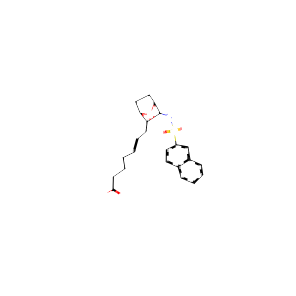 O=C(O)CCCC=CCC1C2CCC(O2)C1NS(=O)(=O)c1ccc2ccccc2c1